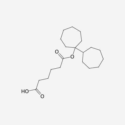 O=C(O)CCCCC(=O)OC1(C2CCCCCC2)CCCCCC1